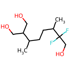 CC(CCC(C)C(F)(F)CO)C(CO)CO